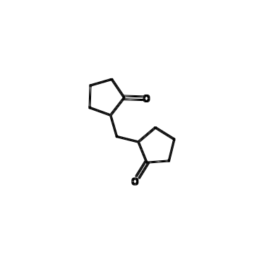 O=C1CCCC1CC1CCCC1=O